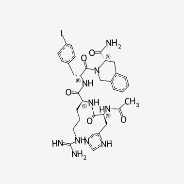 CC(=O)N[C@@H](Cc1cnc[nH]1)C(=O)N[C@@H](CCCNC(=N)N)C(=O)N[C@H](Cc1ccc(I)cc1)C(=O)N1Cc2ccccc2C[C@H]1C(N)=O